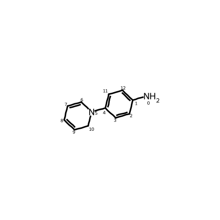 Nc1ccc(N2C=CC=CC2)cc1